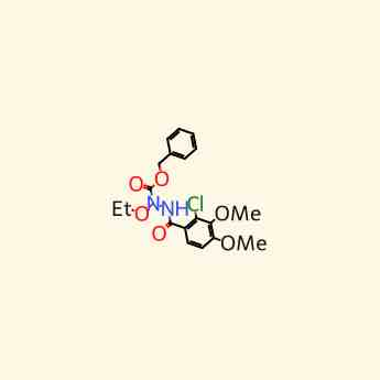 CCON(NC(=O)c1ccc(OC)c(OC)c1Cl)C(=O)OCc1ccccc1